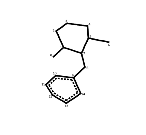 CC1CCCC(C)C1Cc1ccccc1